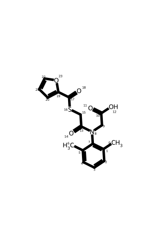 Cc1cccc(C)c1N(CC(=O)O)C(=O)CSC(=O)c1ccco1